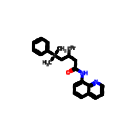 CCCC(CC(=O)Nc1cccc2cccnc12)C[Si](C)(C)c1ccccc1